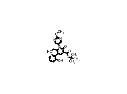 COc1ncc(-n2c(CO)c(-c3ncccc3O)cc(C(=O)OC(C)(C)C)c2=O)cn1